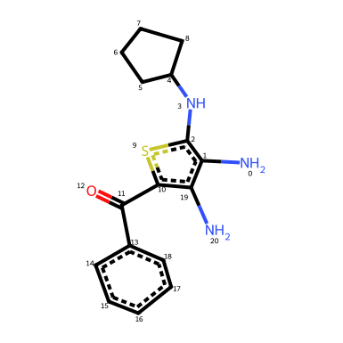 Nc1c(NC2CCCC2)sc(C(=O)c2ccccc2)c1N